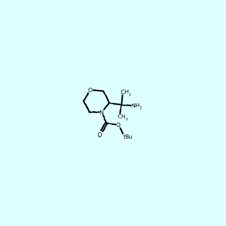 CC(C)(C)OC(=O)N1CCOCC1C(C)(C)N